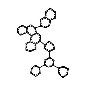 c1ccc(-c2cc(-c3cccc(-c4cc5c(-c6ccc7ccccc7c6)nc6ccccc6c5c5ccccc45)c3)nc(-c3ccccc3)n2)cc1